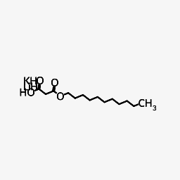 CCCCCCCCCCCOC(=O)CC(=O)O.[KH].[LiH]